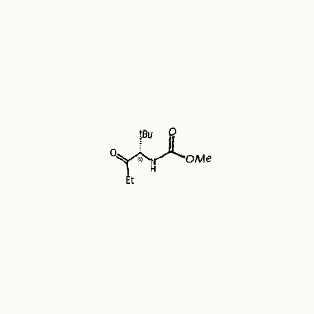 CCC(=O)[C@@H](NC(=O)OC)C(C)(C)C